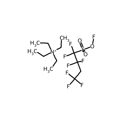 CC[N+](CC)(CC)CC.O=S(=O)(OF)C(F)(F)C(F)(F)CC(F)(F)F